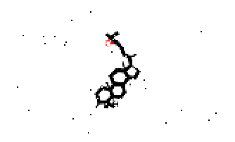 C[C@H](CCC1OC1(C)C)[C@H]1CC[C@@]2(C)C3=C(CC[C@]12C)[C@@]1(C)CC[C@H](C)C(C)(C)[C@@H]1CC3